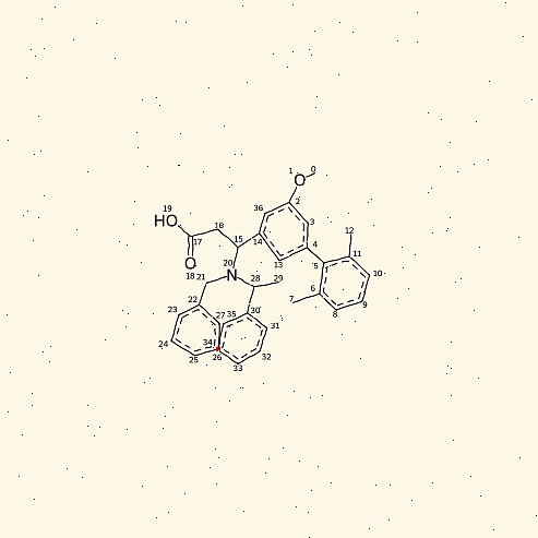 COc1cc(-c2c(C)cccc2C)cc(C(CC(=O)O)N(Cc2ccccc2)C(C)c2ccccc2)c1